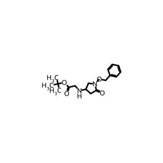 CC(C)(C)OC(=O)CNC1CC(=O)N(OCc2ccccc2)C1